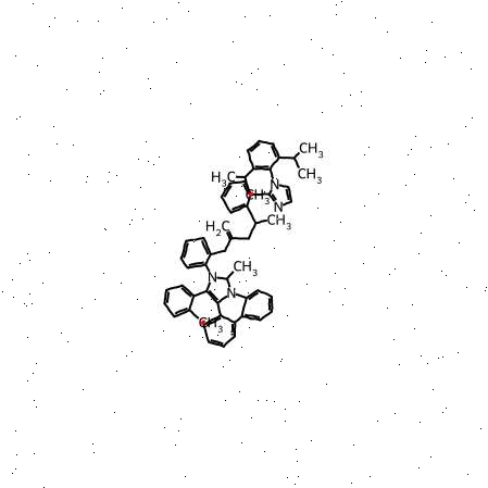 C=C(Cc1ccccc1N1C(c2ccccc2C)=C2c3ccccc3-c3ccccc3N2C1C)CC(C)c1ccccc1-c1nccn1-c1c(C(C)C)cccc1C(C)C